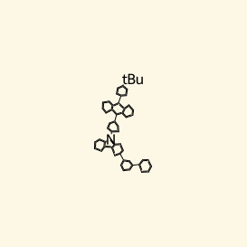 CC(C)(C)c1ccc(-c2c3ccccc3c(-c3ccc(-n4c5ccccc5c5cc(-c6cccc(-c7ccccc7)c6)ccc54)cc3)c3ccccc23)cc1